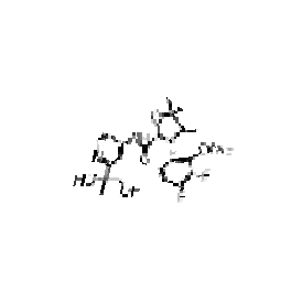 COc1c([C@@H]2[C@@H](C(=O)Nc3ccnc(C(C)(O)CO)c3)OC(C)(C)[C@H]2C)ccc(F)c1F